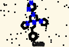 COc1ccc(CCN2C(N3CCCC3)CN(c3ccncn3)CC2N2CCCC2)cc1